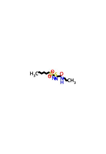 CCCCCCS(=O)(=O)c1nnc(C(=O)NCCC)s1